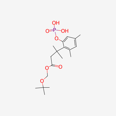 Cc1cc(C)c(C(C)(C)CC(=O)OCOC(C)(C)C)c(OP(=O)(O)O)c1